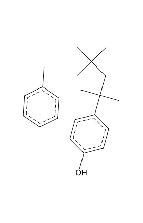 CC(C)(C)CC(C)(C)c1ccc(O)cc1.Cc1ccccc1